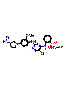 CCNC1CCN(c2ccc(Nc3ncc(Cl)c(Nc4ccccc4S(=O)(=O)NC(C)C)n3)c(OC)c2)C1